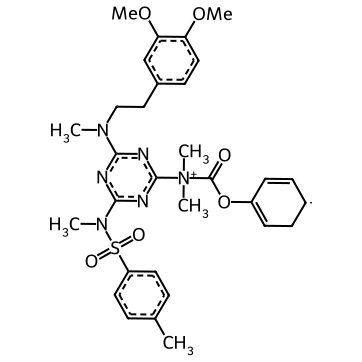 COc1ccc(CCN(C)c2nc(N(C)S(=O)(=O)c3ccc(C)cc3)nc([N+](C)(C)C(=O)OC3=CC[CH]C=C3)n2)cc1OC